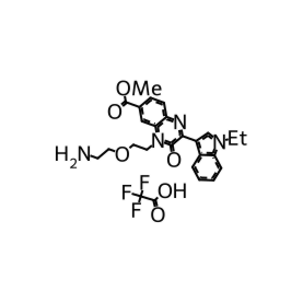 CCn1cc(-c2nc3ccc(C(=O)OC)cc3n(CCOCCN)c2=O)c2ccccc21.O=C(O)C(F)(F)F